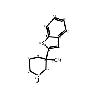 CN1CCCC(O)(c2cc3ccccc3s2)C1